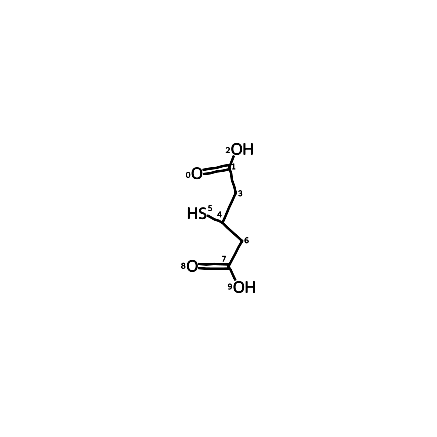 O=C(O)CC(S)CC(=O)O